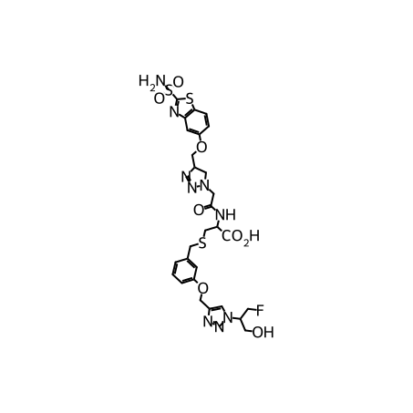 NS(=O)(=O)c1nc2cc(OCC3CN(CC(=O)NC(CSCc4cccc(OCc5cn(C(CO)CF)nn5)c4)C(=O)O)N=N3)ccc2s1